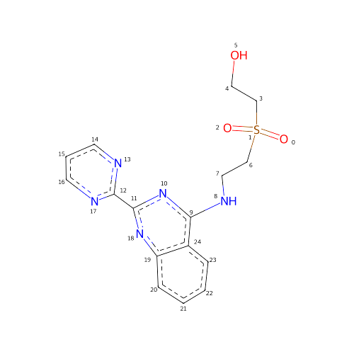 O=S(=O)(CCO)CCNc1nc(-c2ncccn2)nc2ccccc12